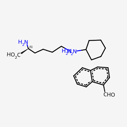 NC1CCCCC1.NCCCC[C@H](N)C(=O)O.O=Cc1cccc2ccccc12